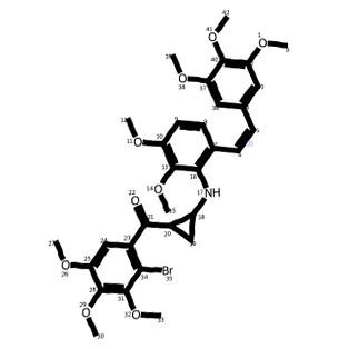 COc1cc(/C=C\c2ccc(OC)c(OC)c2NC2CC2C(=O)c2cc(OC)c(OC)c(OC)c2Br)cc(OC)c1OC